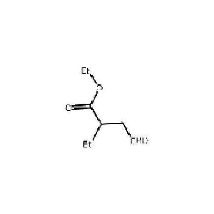 CCOC(=O)C(CC)C[C]=O